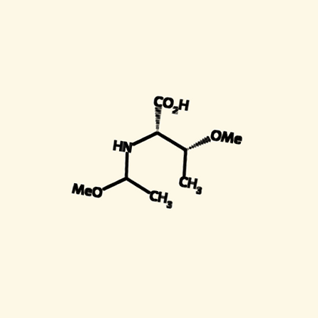 COC(C)N[C@H](C(=O)O)[C@@H](C)OC